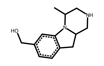 CC1CNCC2Cc3ccc(CO)cc3N12